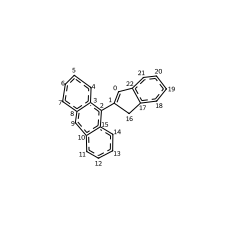 C1=C(c2c3ccccc3cc3ccccc23)Cc2ccccc21